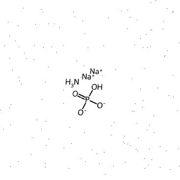 N.O=P([O-])([O-])O.[Na+].[Na+]